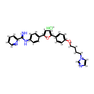 Cl.N=C(Nc1ccc(-c2ccc(-c3ccc(OCCCCn4ccnc4)cc3)o2)cc1)c1ccccn1